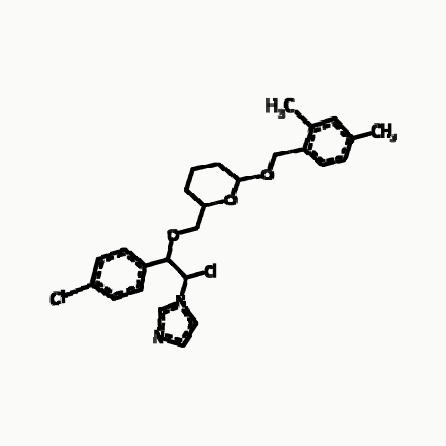 Cc1ccc(COC2CCCC(COC(c3ccc(Cl)cc3)C(Cl)n3ccnc3)O2)c(C)c1